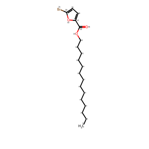 CCCCCCCCCCCCCCOC(=O)c1ccc(Br)o1